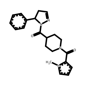 Cn1cccc1C(=O)N1CCC(C(=O)N2N=CCC2c2ccccc2)CC1